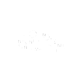 COCN1c2cc(Cn3cnc(C=C(C)C(N)=O)c3C)ccc2Sc2nccnc21